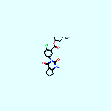 COCC(C)OC(=O)c1cc(-n2c(=O)c3c(n(C)c2=O)CCC3)ccc1Cl